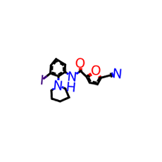 N#Cc1ccc(C(=O)Nc2cccc(I)c2N2CCCCC2)o1